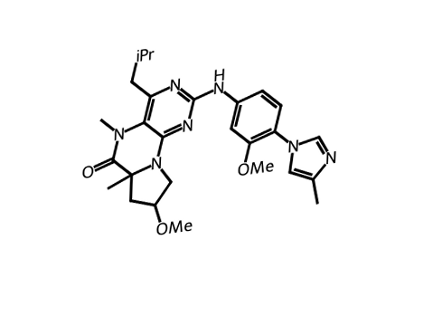 COc1cc(Nc2nc(CC(C)C)c3c(n2)N2CC(OC)CC2(C)C(=O)N3C)ccc1-n1cnc(C)c1